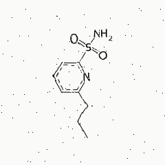 CC[CH]c1cccc(S(N)(=O)=O)n1